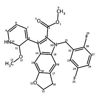 COC(=O)c1c(C2=CC=CNC2OC)c2cc3c(cc2n1Cc1cc(F)ccc1F)CCO3